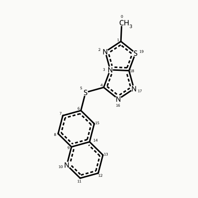 Cc1nn2c(Sc3ccc4ncccc4c3)nnc2s1